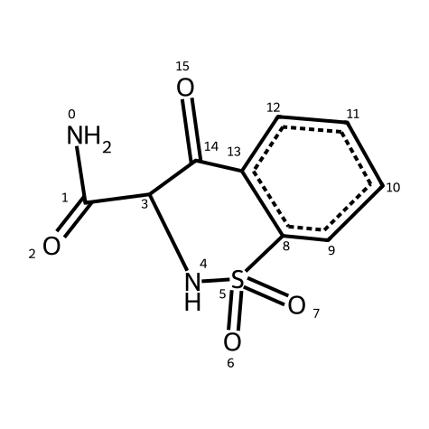 NC(=O)C1NS(=O)(=O)c2ccccc2C1=O